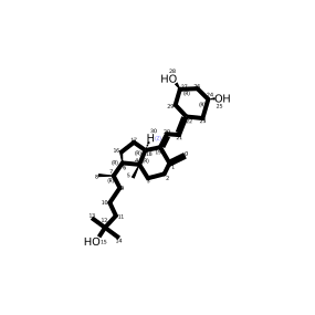 C=C1CC[C@]2(C)[C@@H]([C@H](C)CCCC(C)(C)O)CC[C@H]2/C1=C/C=C1C[C@@H](O)C[C@H](O)C1